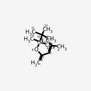 C=C(C=C(C)C)O[Si](C)(C)C(C)(C)C